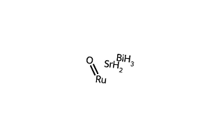 [BiH3].[O]=[Ru].[SrH2]